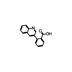 O=C(O)c1ccccc1-c1cnc2ccccc2c1